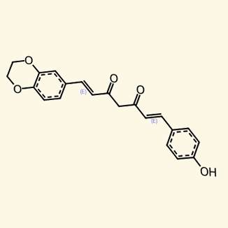 O=C(/C=C/c1ccc(O)cc1)CC(=O)/C=C/c1ccc2c(c1)OCCO2